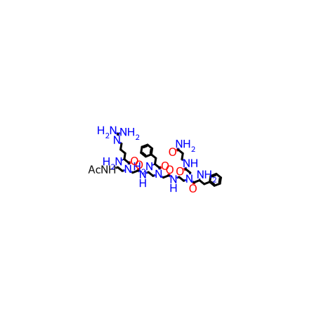 CC(=O)NCCN(CC(=O)NCCN(CC(=O)NCCN(CC(=O)NCCC(N)=O)C(=O)[C@@H](N)Cc1ccccc1)C(=O)[C@@H](N)Cc1ccccc1)C(=O)[C@@H](N)CCCN=C(N)N